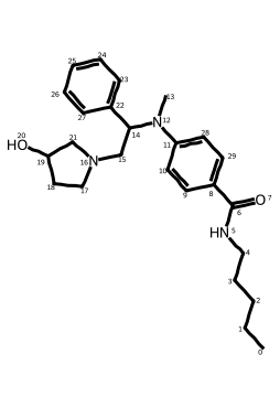 CCCCCNC(=O)c1ccc(N(C)C(CN2CCC(O)C2)c2ccccc2)cc1